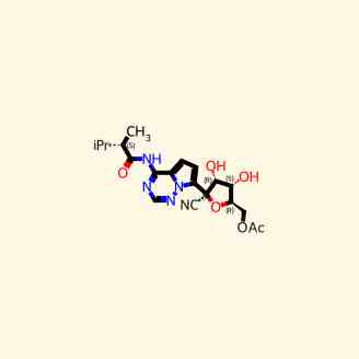 CC(=O)OC[C@H]1O[C@@](C#N)(c2ccc3c(NC(=O)[C@@H](C)C(C)C)ncnn23)[C@H](O)[C@@H]1O